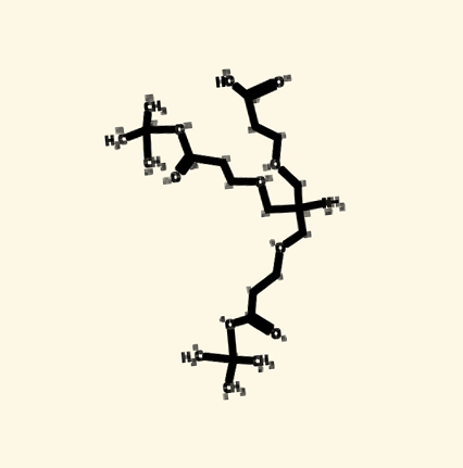 CC(C)(C)OC(=O)CCOCC(N)(COCCC(=O)O)COCCC(=O)OC(C)(C)C